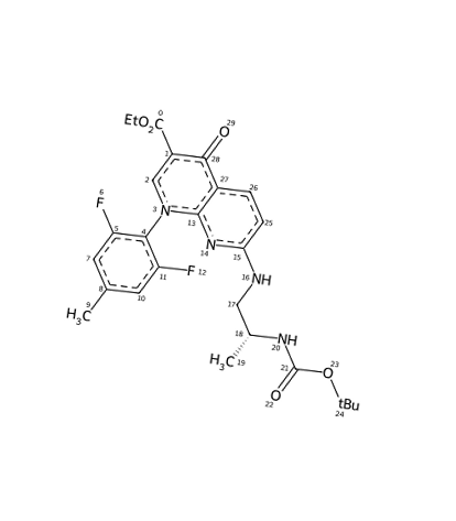 CCOC(=O)c1cn(-c2c(F)cc(C)cc2F)c2nc(NC[C@@H](C)NC(=O)OC(C)(C)C)ccc2c1=O